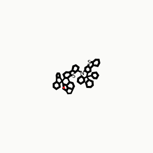 c1ccc(C2(c3ccccc3)c3ccccc3N(c3cccc4c3sc3c5c(ccc34)C3(c4ccccc4-c4ccccc43)c3ccc4c6c(ccc-5c36)CC4)c3cc4sc5ccccc5c4cc32)cc1